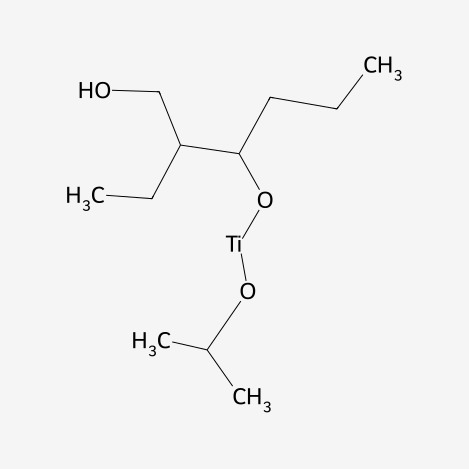 CCCC([O][Ti][O]C(C)C)C(CC)CO